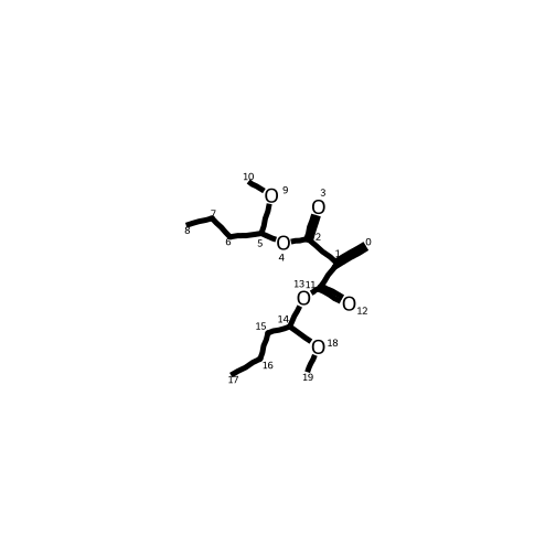 C=C(C(=O)OC(CCC)OC)C(=O)OC(CCC)OC